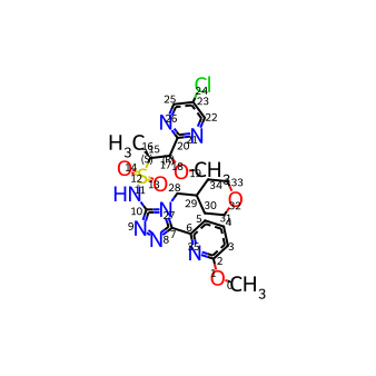 COc1cccc(-c2nnc(NS(=O)(=O)[C@@H](C)[C@H](OC)c3ncc(Cl)cn3)n2CC2CCOCC2)n1